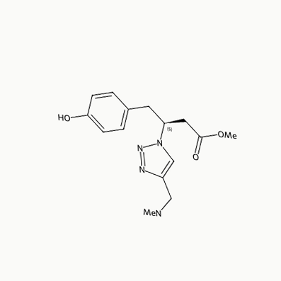 CNCc1cn([C@H](CC(=O)OC)Cc2ccc(O)cc2)nn1